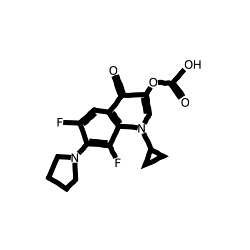 O=C(O)Oc1cn(C2CC2)c2c(F)c(N3CCCC3)c(F)cc2c1=O